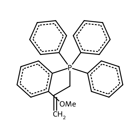 C=CCP(c1ccccc1)(c1ccccc1)(c1ccccc1)c1ccccc1OC